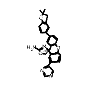 CC1(C)Cc2cc(-c3ccc4c(c3)[C@]3(COC(N)=N3)c3cc(-c5cncnc5)ccc3O4)ccc2O1